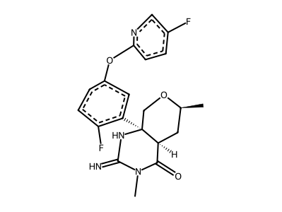 C[C@H]1C[C@H]2C(=O)N(C)C(=N)N[C@@]2(c2cc(Oc3ccc(F)cn3)ccc2F)CO1